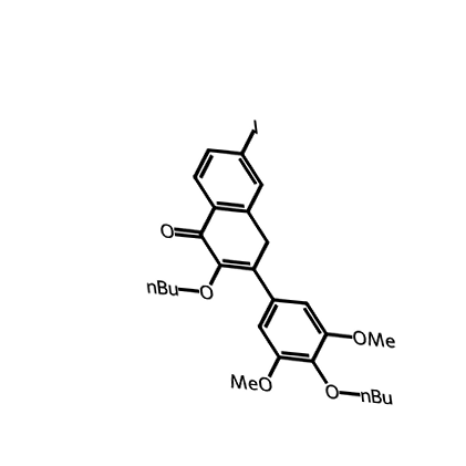 CCCCOC1=C(c2cc(OC)c(OCCCC)c(OC)c2)Cc2cc(I)ccc2C1=O